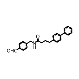 O=Cc1ccc(CNC(=O)CCCc2ccc(-c3ccccc3)cc2)cc1